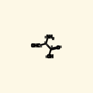 NC(C=O)C(=O)O